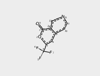 O=c1oc(C(F)(F)F)cc2ccncc12